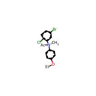 CCOc1ccc([N+](C)(C(C)=O)c2cc(Br)ccc2Cl)cc1